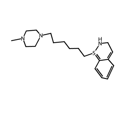 CN1CCN(CCCCCCS2=c3ccccc3=CCN2)CC1